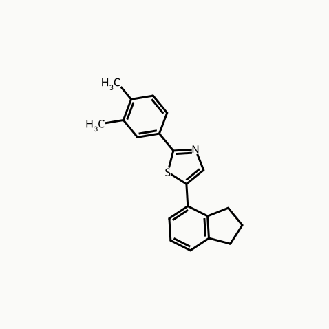 Cc1ccc(-c2ncc(-c3cccc4c3CCC4)s2)cc1C